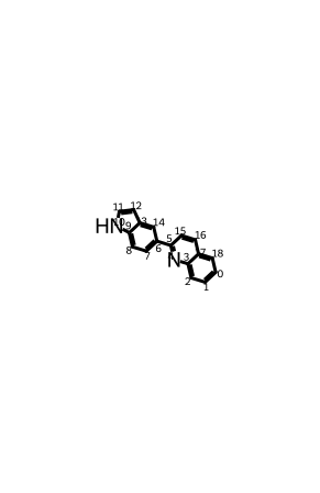 c1ccc2nc(-c3ccc4[nH]ccc4c3)ccc2c1